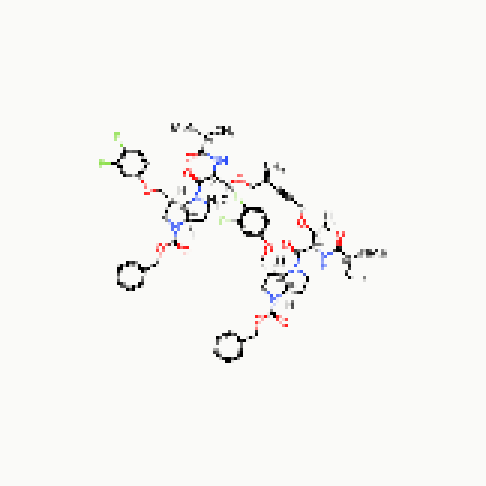 C=C(C#CCO[C@H](C)[C@H](NC(=O)[C@H](C)NC)C(=O)N1CC[C@@H]2[C@H]1[C@@H](COc1ccc(F)c(F)c1)CN2C(=O)OCc1ccccc1)CO[C@H](C)[C@H](NC(=O)[C@H](C)NC)C(=O)N1CC[C@@H]2[C@H]1[C@@H](COc1ccc(F)c(F)c1)CN2C(=O)OCc1ccccc1